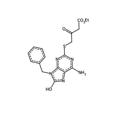 CCOC(=O)CC(=O)CSc1nc(N)c2nc(O)n(Cc3ccccc3)c2n1